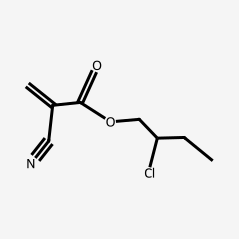 C=C(C#N)C(=O)OCC(Cl)CC